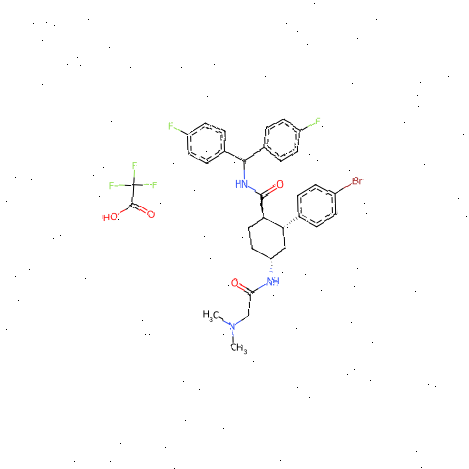 CN(C)CC(=O)N[C@@H]1CC[C@@H](C(=O)NC(c2ccc(F)cc2)c2ccc(F)cc2)[C@H](c2ccc(Br)cc2)C1.O=C(O)C(F)(F)F